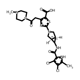 Cc1[nH]c(C(=O)NC2[C@H]3CN(c4nc(CC(=O)N5CCN(C)CC5)c(C(=O)O)s4)C[C@@H]23)c(Cl)c1Cl